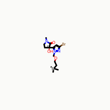 CN1CC[C@@](O)(c2cc(Br)nn2COCC[Si](C)(C)C)C1=O